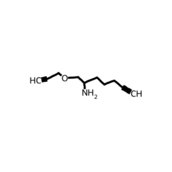 C#CCCCC(N)COCC#C